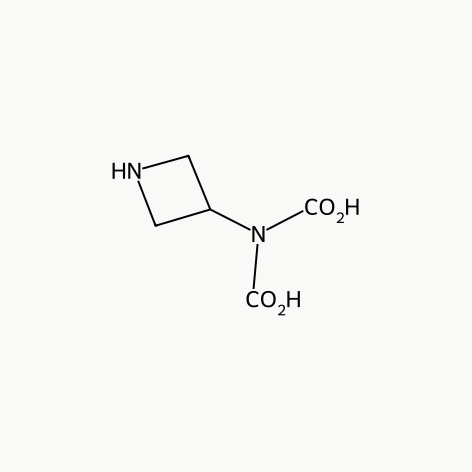 O=C(O)N(C(=O)O)C1CNC1